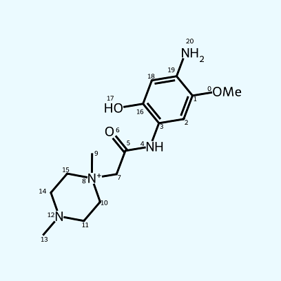 COc1cc(NC(=O)C[N+]2(C)CCN(C)CC2)c(O)cc1N